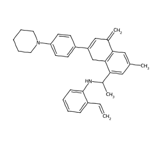 C=Cc1ccccc1NC(C)c1cc(C)cc2c1CC(c1ccc(N3CCCCC3)cc1)=CC2=C